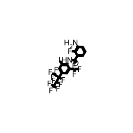 Nc1cccc(C(=O)Nc2c(I)cc(C(F)(C(F)(F)F)C(F)(F)C(F)(F)F)cc2C(F)(F)F)c1F